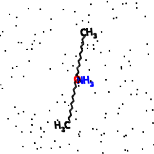 CCCCCCCCCCCCCOCCCCCCCCCCCCC.N